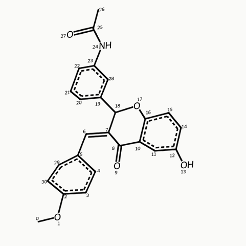 COc1ccc(C=C2C(=O)c3cc(O)ccc3OC2c2cccc(NC(C)=O)c2)cc1